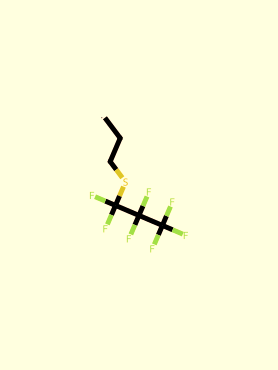 [CH2]CCSC(F)(F)C(F)(F)C(F)(F)F